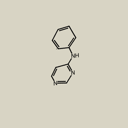 [c]1ccccc1Nc1ccncn1